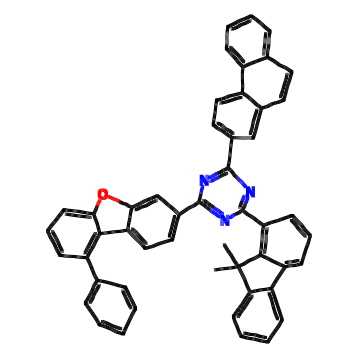 CC1(C)c2ccccc2-c2cccc(-c3nc(-c4ccc5c(ccc6ccccc65)c4)nc(-c4ccc5c(c4)oc4cccc(-c6ccccc6)c45)n3)c21